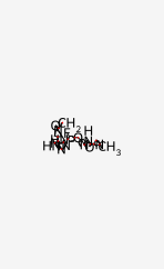 C=CC(=O)N1CCC(c2n[nH]c3ncnc(Nc4ccc(Oc5ccnc(NC(=O)c6ccn(C)c6)c5)cc4F)c23)CC1